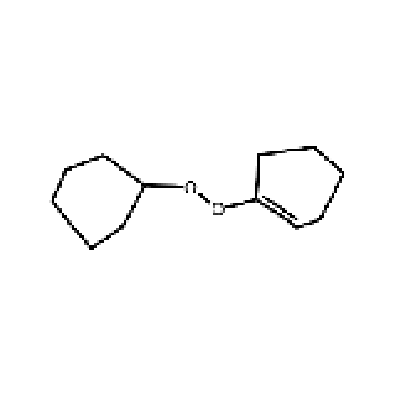 C1=C(OOC2CCCCC2)CCCC1